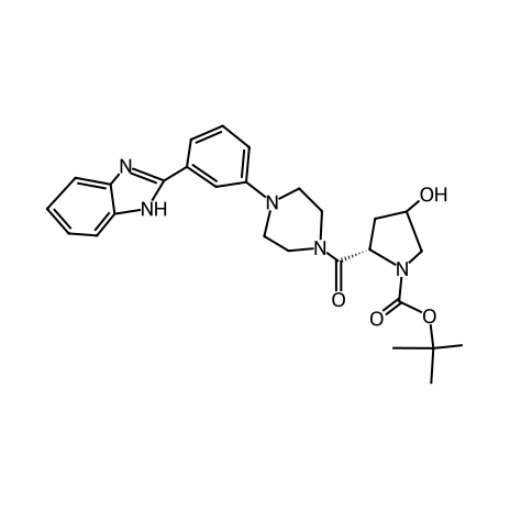 CC(C)(C)OC(=O)N1CC(O)C[C@H]1C(=O)N1CCN(c2cccc(-c3nc4ccccc4[nH]3)c2)CC1